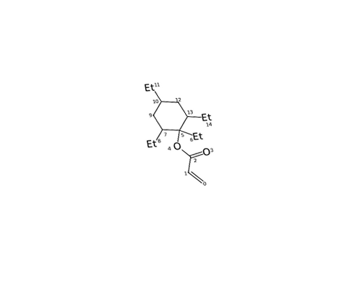 C=CC(=O)OC1(CC)C(CC)CC(CC)CC1CC